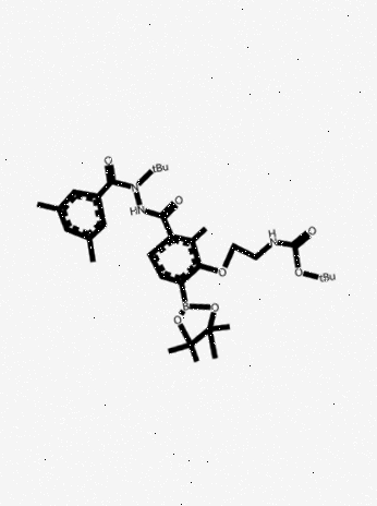 Cc1cc(C)cc(C(=O)N(NC(=O)c2ccc(B3OC(C)(C)C(C)(C)O3)c(OCCNC(=O)OC(C)(C)C)c2C)C(C)(C)C)c1